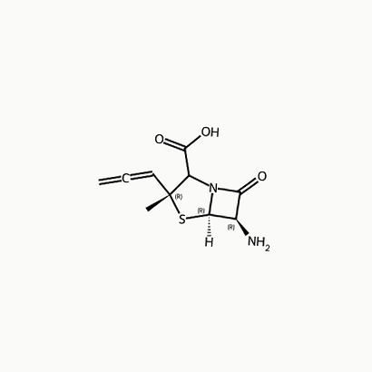 C=C=C[C@@]1(C)S[C@@H]2[C@H](N)C(=O)N2C1C(=O)O